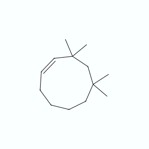 CC1(C)C=CCCCCC(C)(C)C1